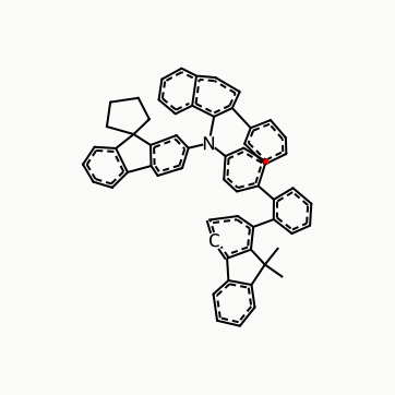 CC1(C)c2ccccc2-c2cccc(-c3ccccc3-c3ccc(N(c4ccc5c(c4)C4(CCCC4)c4ccccc4-5)c4c(-c5ccccc5)ccc5ccccc45)cc3)c21